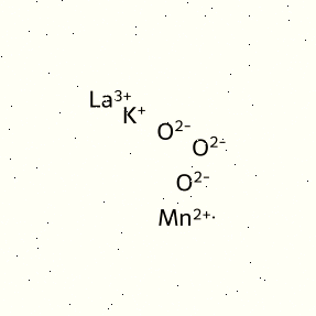 [K+].[La+3].[Mn+2].[O-2].[O-2].[O-2]